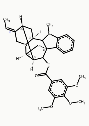 C/C=C1/CN2[C@H]3C[C@@H]1[C@H]1C(OC(=O)c4cc(OC)c(OC)c(OC)c4)[C@]4(C[C@@H]12)c1ccccc1N(C)C34